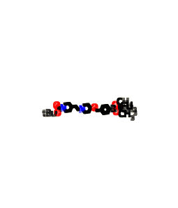 CC(C)(C)OC(=O)N1CCC(CCN2CCC(OCc3ccc(B4OC(C)(C)C(C)(C)O4)cc3)CC2)CC1